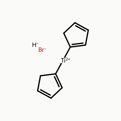 C1=CC[C]([Ti+2][C]2=CC=CC2)=C1.[Br-].[H-]